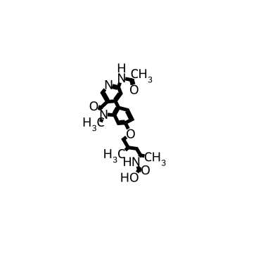 CC(=O)Nc1cc2c(cn1)c(=O)n(C)c1cc(OCC(C)CC(C)NC(=O)O)ccc21